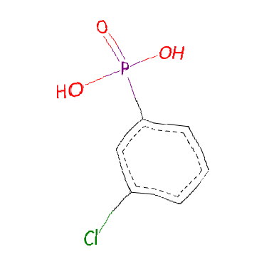 O=P(O)(O)c1cccc(Cl)c1